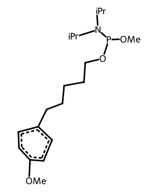 COc1ccc(CCCCCOP(OC)N(C(C)C)C(C)C)cc1